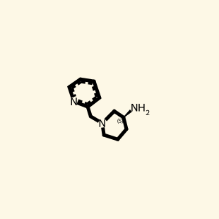 N[C@H]1CCCN(Cc2ccccn2)C1